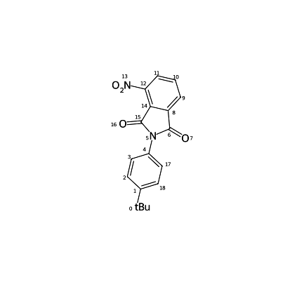 CC(C)(C)c1ccc(N2C(=O)c3cccc([N+](=O)[O-])c3C2=O)cc1